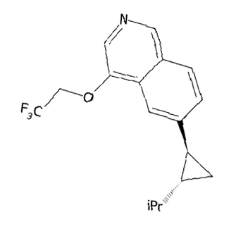 CC(C)[C@H]1C[C@@H]1c1ccc2cncc(OCC(F)(F)F)c2c1